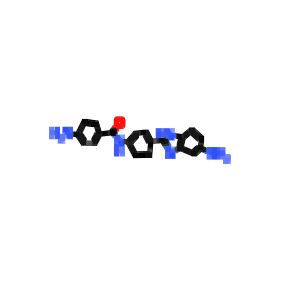 Nc1ccc(C(=O)Nc2ccc(-c3nc4cc(N)ccc4[nH]3)cc2)cc1